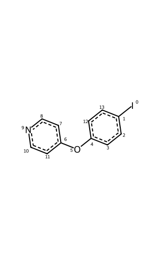 Ic1ccc(Oc2ccncc2)cc1